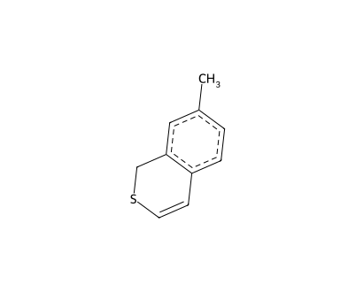 Cc1ccc2c(c1)CSC=C2